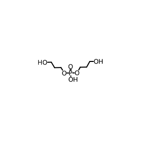 O=P(O)(OCCCO)OCCCO